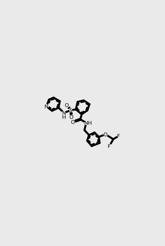 O=C(NCc1cccc(OC(F)F)c1)c1ccccc1S(=O)(=O)Nc1cccnc1